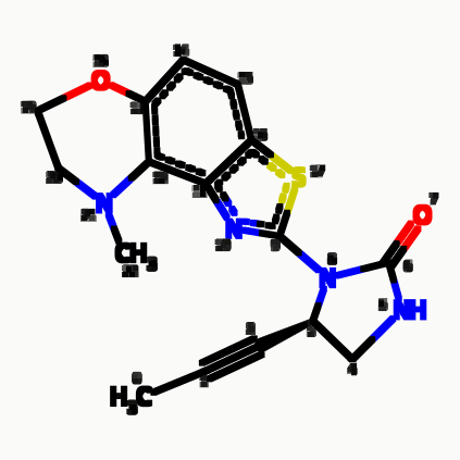 CC#C[C@@H]1CNC(=O)N1c1nc2c3c(ccc2s1)OCCN3C